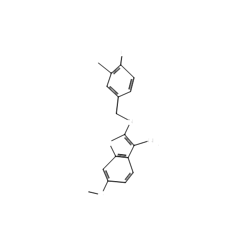 Bc1c(NCc2ccc(F)c(F)c2)sc2cc(OC)ccc12